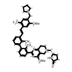 COc1cc(/C=C/c2cccc(-c3cccc(-c4nc5c(c(OC)n4)CN(C[C@@H]4CCC(=O)N4)CC5)c3C)c2C)c(C(F)(F)F)cc1CN1CCCC1